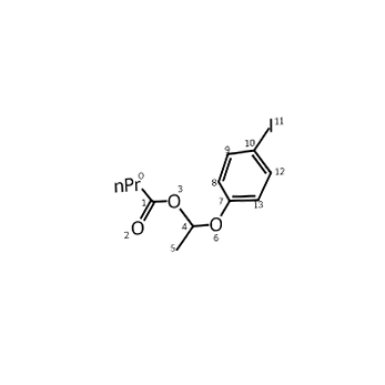 CCCC(=O)OC(C)Oc1ccc(I)cc1